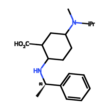 CC(C)N(C)C1CCC(N[C@@H](C)c2ccccc2)C(C(=O)O)C1